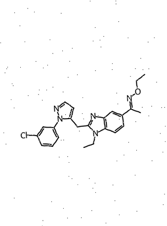 CCON=C(C)c1ccc2c(c1)nc(Cc1ccnn1-c1cccc(Cl)c1)n2CC